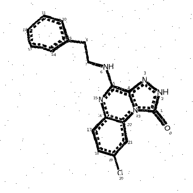 O=c1[nH]nc2c(NCCc3ccccc3)nc3ccc(Cl)cc3n12